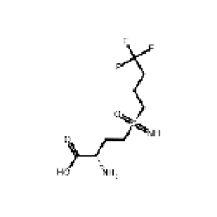 N=[S@](=O)(CCCC(F)(F)F)CC[C@H](N)C(=O)O